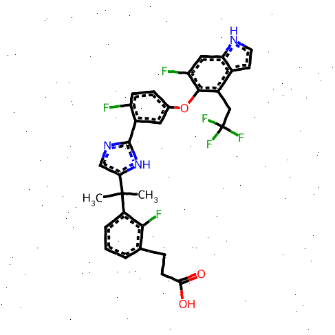 CC(C)(c1cnc(-c2cc(Oc3c(F)cc4[nH]ccc4c3CC(F)(F)F)ccc2F)[nH]1)c1cccc(CCC(=O)O)c1F